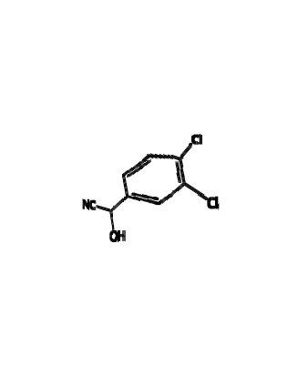 N#CC(O)c1ccc(Cl)c(Cl)c1